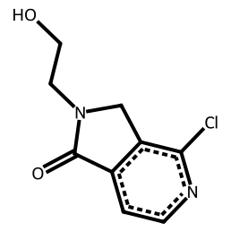 O=C1c2ccnc(Cl)c2CN1CCO